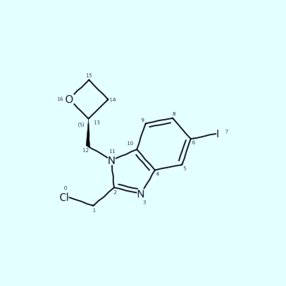 ClCc1nc2cc(I)ccc2n1C[C@@H]1CCO1